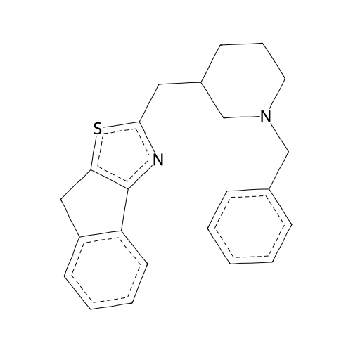 c1ccc(CN2CCCC(Cc3nc4c(s3)Cc3ccccc3-4)C2)cc1